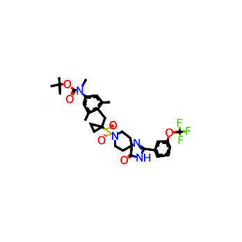 Cc1cc(N(C)C(=O)OC(C)(C)C)cc(C)c1CC1(S(=O)(=O)N2CCC3(CC2)N=C(c2cccc(OC(F)(F)F)c2)NC3=O)CC1